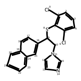 Clc1cccc(Cl)c1SC(Cn1ccnc1)c1ccc2ccccc2c1